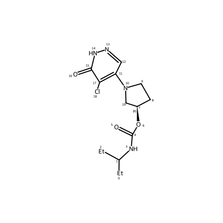 CCC(CC)NC(=O)O[C@@H]1CCN(c2cn[nH]c(=O)c2Cl)C1